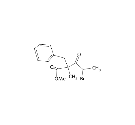 COC(=O)C(C)(Cc1ccccc1)C(=O)C(C)Br